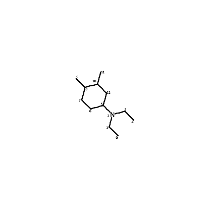 CCN(CC)C1CCC(C)C(C)C1